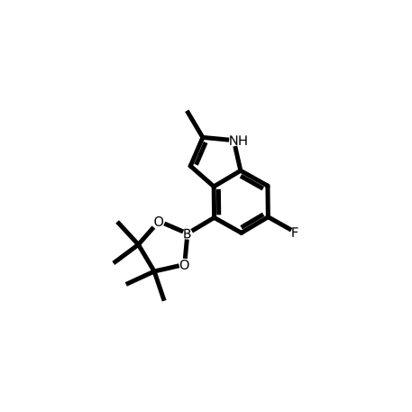 Cc1cc2c(B3OC(C)(C)C(C)(C)O3)cc(F)cc2[nH]1